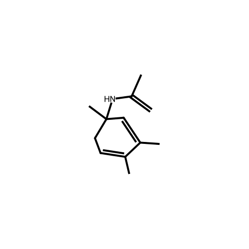 C=C(C)NC1(C)C=C(C)C(C)=CC1